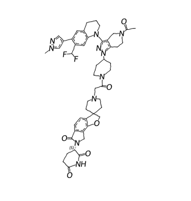 CC(=O)N1CCc2c(c(N3CCCc4cc(-c5cnn(C)c5)c(C(F)F)cc43)nn2C2CCN(C(=O)CN3CCC4(CC3)COc3c4ccc4c3CN([C@H]3CCC(=O)NC3=O)C4=O)CC2)C1